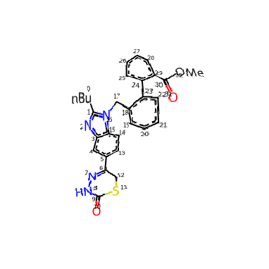 CCCCc1nc2cc(C3=NNC(=O)SC3)ccc2n1Cc1ccccc1-c1ccccc1C(=O)OC